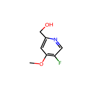 COc1cc(CO)ncc1F